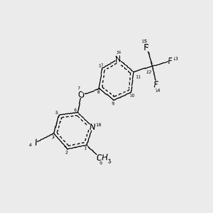 Cc1cc(I)cc(Oc2ccc(C(F)(F)F)nc2)n1